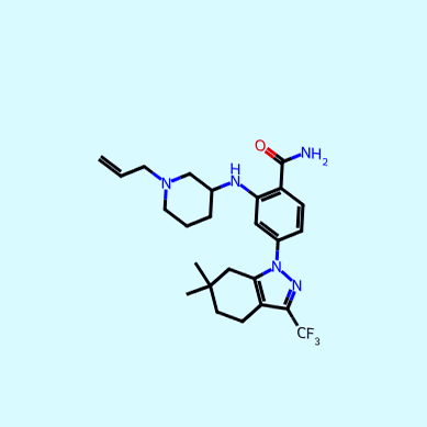 C=CCN1CCCC(Nc2cc(-n3nc(C(F)(F)F)c4c3CC(C)(C)CC4)ccc2C(N)=O)C1